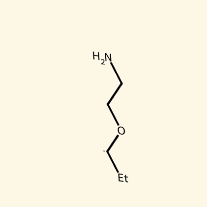 CC[CH]OCCN